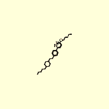 CCCCCOc1ccc(-c2ccc(CCC3CCC(CCCCC)CC3)cc2)nn1